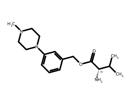 CC(C)[C@H](N)C(=O)OCc1cccc(N2CCN(C)CC2)c1